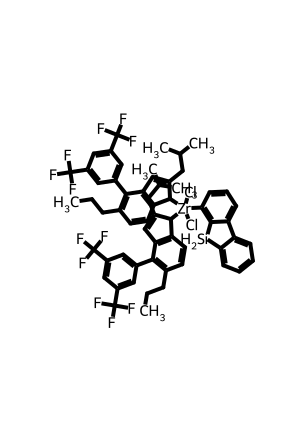 CCCc1ccc2c(c1-c1cc(C(F)(F)F)cc(C(F)(F)F)c1)C=C(CC(C)C)[CH]2[Zr]([Cl])([Cl])([c]1cccc2c1[SiH2]c1ccccc1-2)[CH]1C(CC(C)C)=Cc2c1ccc(CCC)c2-c1cc(C(F)(F)F)cc(C(F)(F)F)c1